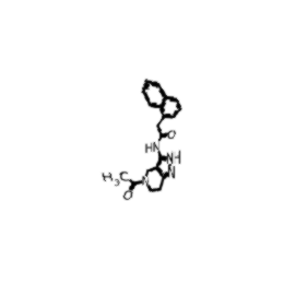 CC(=O)N1CCc2n[nH]c(NC(=O)Cc3cccc4ccccc34)c2C1